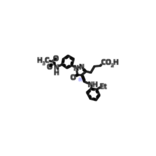 CCc1ccccc1N/C=C1/C(=O)N(c2cccc(NS(C)(=O)=O)c2)N=C1CCCC(=O)O